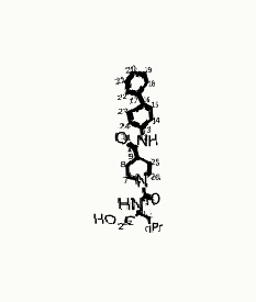 CC(C)C[C@H](NC(=O)N1CCC(C(=O)Nc2ccc(-c3ccccc3)cc2)CC1)C(=O)O